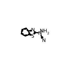 N#CN(N)c1nc2ccccc2s1